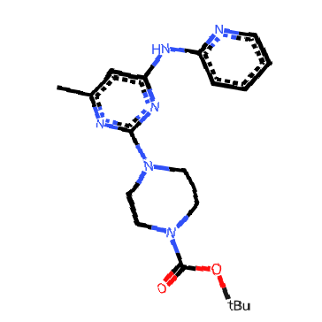 Cc1cc(Nc2ccccn2)nc(N2CCN(C(=O)OC(C)(C)C)CC2)n1